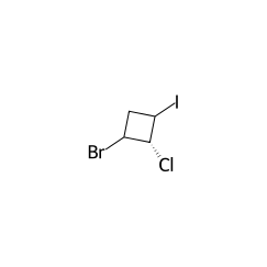 Cl[C@@H]1C(Br)CC1I